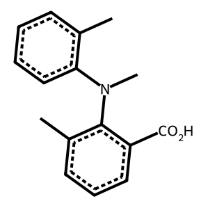 Cc1ccccc1N(C)c1c(C)cccc1C(=O)O